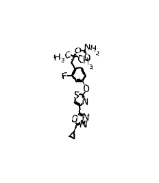 CC(C)(Cc1ccc(Oc2nc(-c3nnc(C4CC4)o3)cs2)cc1F)OC(N)=O